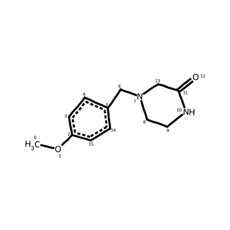 COc1ccc(CN2CCNC(=O)C2)cc1